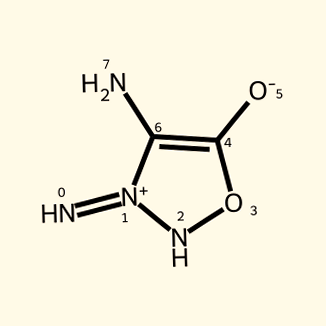 N=[N+]1NOC([O-])=C1N